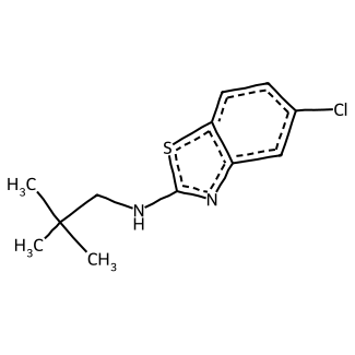 CC(C)(C)CNc1nc2cc(Cl)ccc2s1